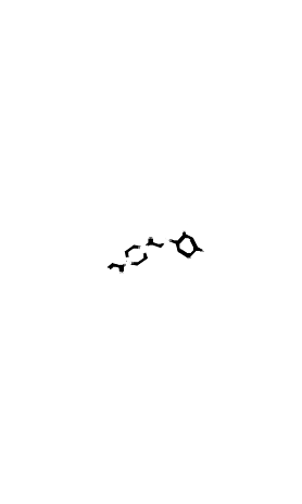 C=CC(=O)N1CCN(C(=O)CNc2cc(C)c(Cl)cc2Cl)CC1